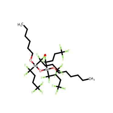 CCCCCC[O][Sn]([O][Sn]([O]CCCCCC)([C](F)(F)CCC(F)(F)F)[C](F)(F)CCC(F)(F)F)([C](F)(F)CCC(F)(F)F)[C](F)(F)CCC(F)(F)F